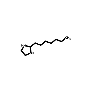 CCCCCCCC1NCCN1